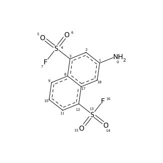 Nc1cc(S(=O)(=O)F)c2cccc(S(=O)(=O)F)c2c1